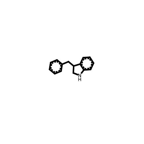 c1ccc(CC2CNc3ccccc32)cc1